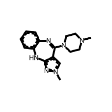 CN1CCN(C2=Nc3ccccc3Nc3nn(C)cc32)CC1